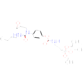 CCCCNC(=O)N(CC1CO1)c1ccc(OC(=O)NCCC[Si](OCC)(OCC)OCC)cc1